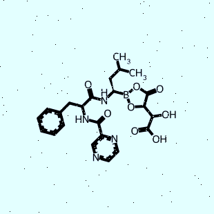 CC(C)C[C@H](NC(=O)C(Cc1ccccc1)NC(=O)c1cnccn1)B1OC(=O)C(C(O)C(=O)O)O1